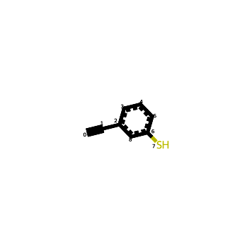 C#Cc1cccc(S)c1